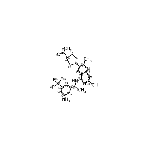 CC(=O)N1CCC(c2cc3c(NC(C)c4cc(N)cc(C(F)(F)F)c4)nc(C)nc3nc2C)CC1